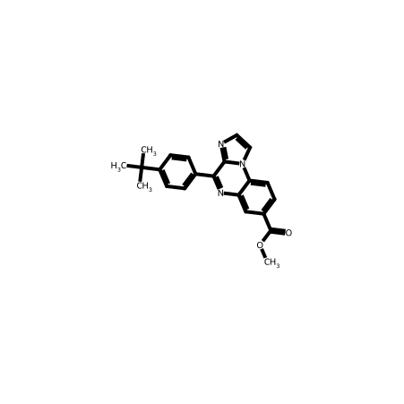 COC(=O)c1ccc2c(c1)nc(-c1ccc(C(C)(C)C)cc1)c1nccn12